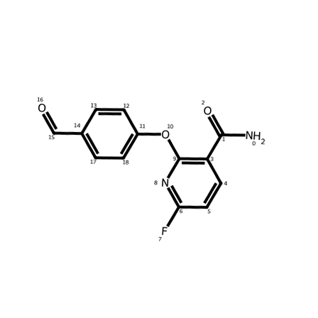 NC(=O)c1ccc(F)nc1Oc1ccc(C=O)cc1